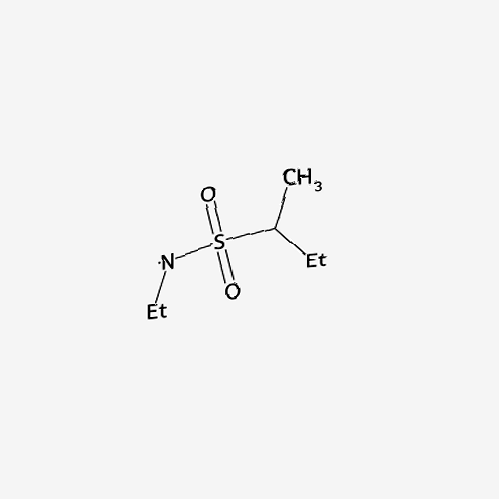 CC[N]S(=O)(=O)C(C)CC